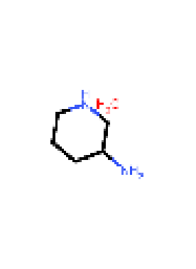 NC1CCCNC1.O